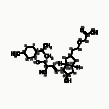 CC1CC[C@@H](C(C)C)[C@H](OCC(O)C=C[C@@H]2[C@@H]3CC(CCOCC(=O)O)C[C@@H]3C[C@H]2O)C1